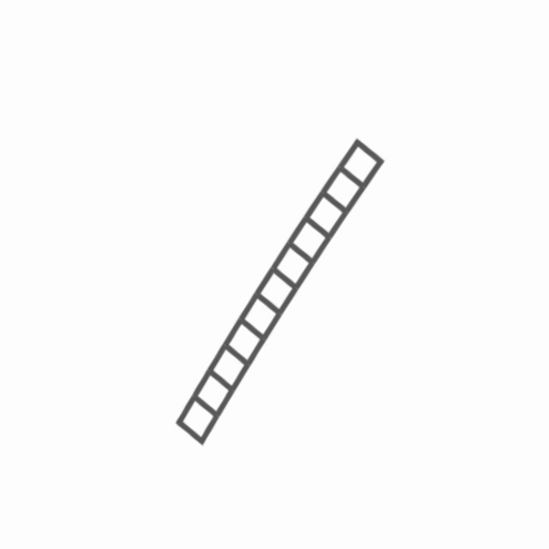 C1CC2C1C1C2C2C1C1C2C2C1C1C3C4C5C6CCC6C5C4C3C21